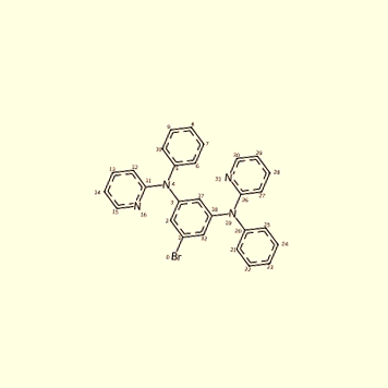 Brc1cc(N(c2ccccc2)c2ccccn2)cc(N(c2ccccc2)c2ccccn2)c1